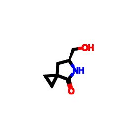 O=C1N[C@H](CO)CC12CC2